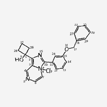 OC1(C2=C3C=NC=C[N+]3(Cl)C(c3cccc(OCc4ccccc4)c3)=N2)CCC1